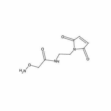 NOCC(=O)NCCN1C(=O)C=CC1=O